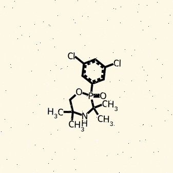 CC1(C)COP(=O)(c2cc(Cl)cc(Cl)c2)C(C)(C)N1